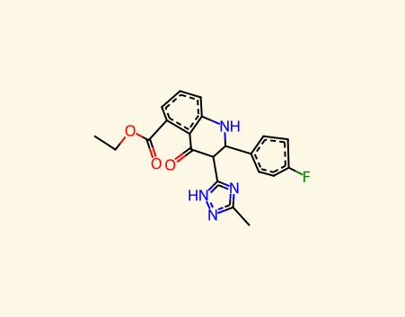 CCOC(=O)c1cccc2c1C(=O)C(c1nc(C)n[nH]1)C(c1ccc(F)cc1)N2